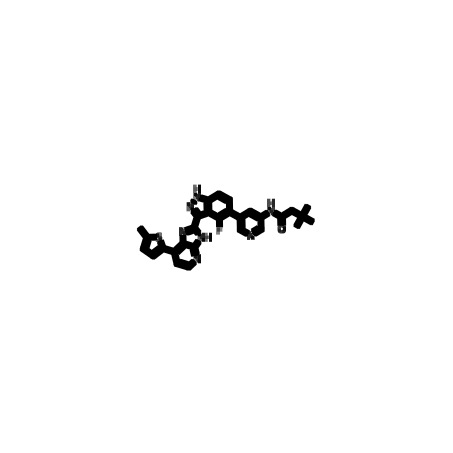 Cc1ccc(-c2ccnc3[nH]c(-c4n[nH]c5ccc(-c6cncc(NC(=O)CC(C)(C)C)c6)c(F)c45)nc23)s1